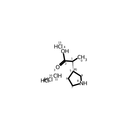 CC(C(=O)O)[C@H]1CCNC1.Cl.Cl.Cl.Cl